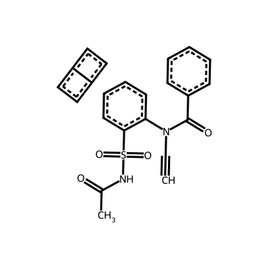 C#CN(C(=O)c1ccccc1)c1ccccc1S(=O)(=O)NC(C)=O.c1cc2ccc1-2